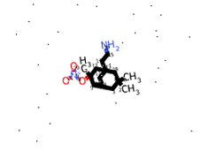 CC1(C)CC2=CC(C)(O[N+](=O)[O-])CC(CCN)(C2)C1